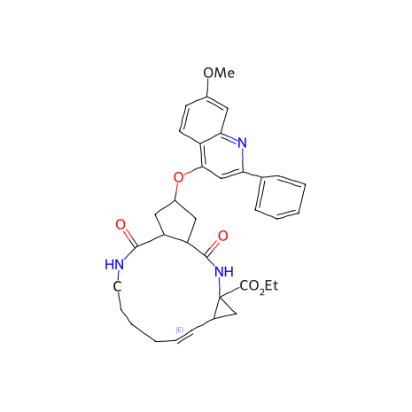 CCOC(=O)C12CC1/C=C/CCCCNC(=O)C1CC(Oc3cc(-c4ccccc4)nc4cc(OC)ccc34)CC1C(=O)N2